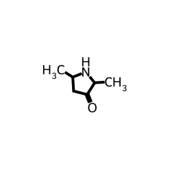 CC1CC(=O)C(C)N1